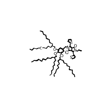 C=CCN1C(=O)C2=C(c3cccs3)N(Cc3cc(OCC(CCCCCCCC)CCCCCCCCCC)c(OCC(CCCCCCCC)CCCCCCCCCC)c(OCC(CCCCCCCC)CCCCCCCCCC)c3)C(=O)C2=C1c1cccs1